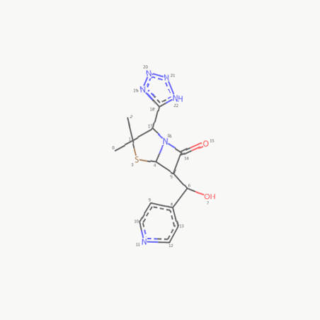 CC1(C)SC2C(C(O)c3ccncc3)C(=O)N2C1c1nnn[nH]1